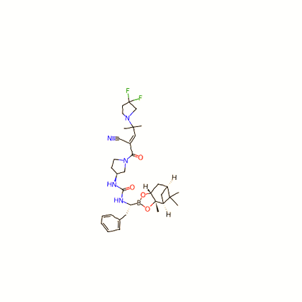 CC1(C)[C@@H]2C[C@H]3OB([C@H](Cc4ccccc4)NC(=O)N[C@H]4CCN(C(=O)C(C#N)=CC(C)(C)N5CCC(F)(F)C5)C4)O[C@@]3(C)[C@H]1C2